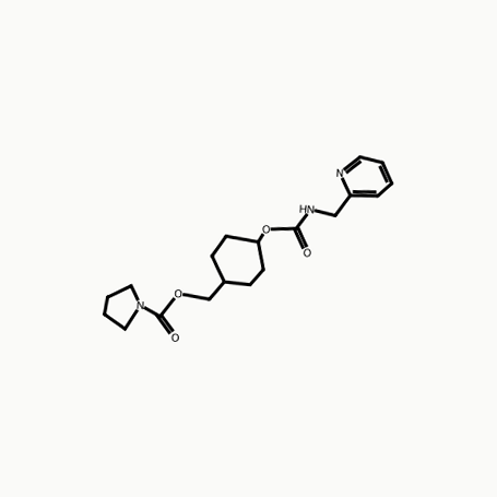 O=C(NCc1ccccn1)OC1CCC(COC(=O)N2CCCC2)CC1